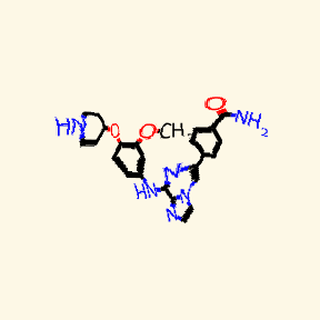 COc1cc(Nc2nc(-c3ccc(C(N)=O)cc3)cn3ccnc23)ccc1OC1CCNCC1